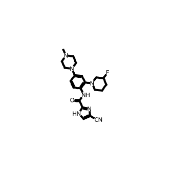 CN1CCN(c2ccc(NC(=O)c3nc(C#N)c[nH]3)c(N3CCCC(F)C3)c2)CC1